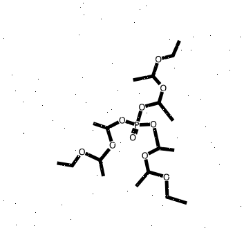 CCOC(C)OC(C)OP(=O)(OC(C)OC(C)OCC)OC(C)OC(C)OCC